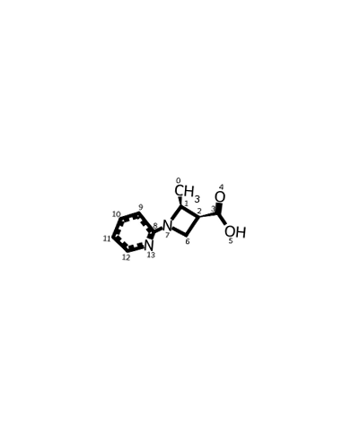 C[C@H]1[C@@H](C(=O)O)CN1c1ccccn1